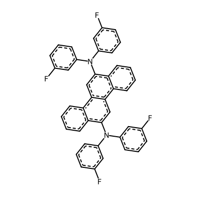 Fc1cccc(N(c2cccc(F)c2)c2cc3c4ccccc4c(N(c4cccc(F)c4)c4cccc(F)c4)cc3c3ccccc23)c1